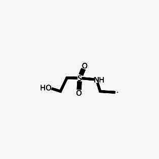 [CH2]CNS(=O)(=O)CCO